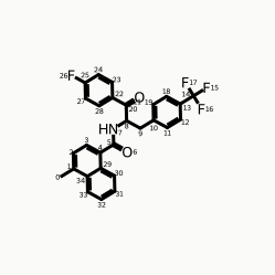 Cc1ccc(C(=O)NC(Cc2ccc(C(F)(F)F)cc2)C(=O)c2ccc(F)cc2)c2ccccc12